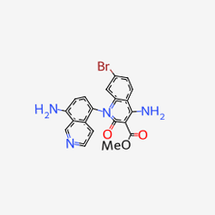 COC(=O)c1c(N)c2ccc(Br)cc2n(-c2ccc(N)c3cnccc23)c1=O